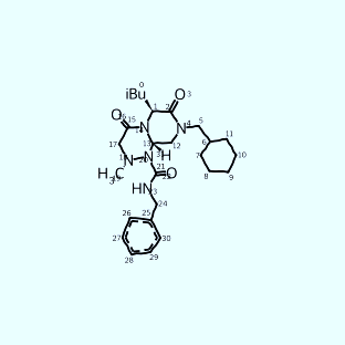 CCC(C)[C@H]1C(=O)N(CC2CCCCC2)C[C@H]2N1C(=O)CN(C)N2C(=O)NCc1ccccc1